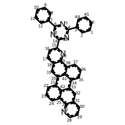 c1ccc(-c2nc(-c3ccccc3)nc(-c3ccc4cc5c6cccc7c8ncccc8cc(c8cccc(c4n3)c85)c67)n2)cc1